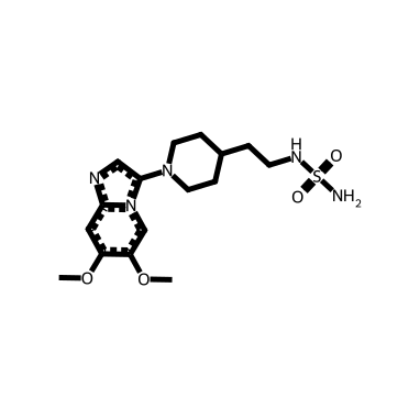 COc1cc2ncc(N3CCC(CCNS(N)(=O)=O)CC3)n2cc1OC